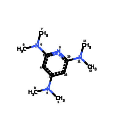 CN(C)c1cc(N(C)C)nc(N(C)C)c1